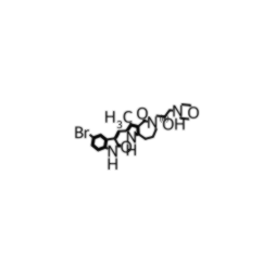 Cc1c(C=C2C(=O)Nc3ccc(Br)cc32)[nH]c2c1C(=O)N(C[C@H](O)CN1CCOCC1)CCC2